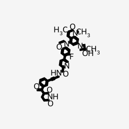 Cc1cc2c(N3CCOc4cc(-c5ccc(C(=O)NCC#Cc6ccc7occ(C8CCC(=O)NC8=O)c7c6)nc5)c(F)cc43)cc(N3CC(C)(O)C3)cc2n(C)c1=O